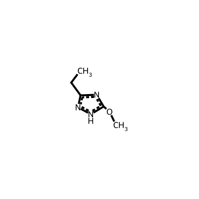 CCc1n[nH]c(OC)n1